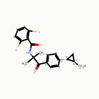 CC(C)(NC(=O)c1c(F)cccc1F)C(=O)c1ccc([C@@H]2C[C@H]2C(=O)O)cc1